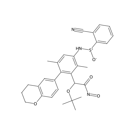 Cc1cc(N[S+]([O-])c2ccccc2C#N)c(C)c(C(OC(C)(C)C)C(=O)N=O)c1-c1ccc2c(c1)CCCO2